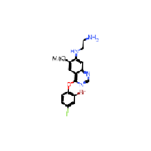 COc1cc2c(Oc3ccc(F)cc3Br)ncnc2cc1NCCN